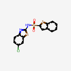 O=S(=O)(Nc1nc2ccc(Cl)cc2s1)c1cc2ccccc2s1